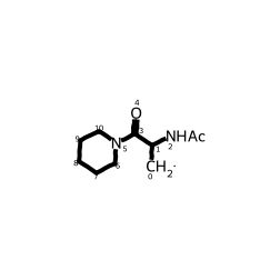 [CH2]C(NC(C)=O)C(=O)N1CCCCC1